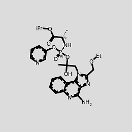 CCOCc1nc2c(N)nc3ccccc3c2n1CC(C)(O)O[P@@](=O)(N[C@@H](C)C(=O)OC(C)C)Oc1cccnc1